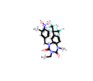 CCN1C(=O)N(C)c2ccc(C(F)(C(F)(F)F)C(F)(F)F)cc2N(Cc2ccc([N+](=O)[O-])c(C)c2)C1=O